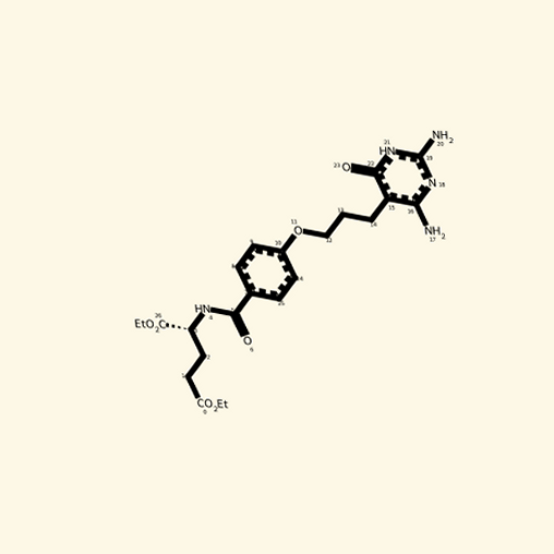 CCOC(=O)CC[C@@H](NC(=O)c1ccc(OCCCc2c(N)nc(N)[nH]c2=O)cc1)C(=O)OCC